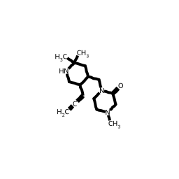 C=C=CC1CNC(C)(C)CC1CN1CCN(C)CC1=O